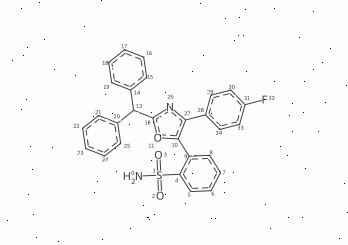 NS(=O)(=O)c1ccccc1-c1oc(C(c2ccccc2)c2ccccc2)nc1-c1ccc(F)cc1